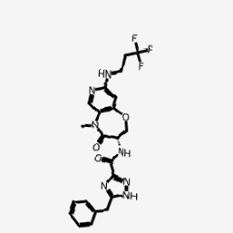 CN1C(=O)[C@@H](NC(=O)c2n[nH]c(Cc3ccccc3)n2)COc2cc(NCCC(F)(F)F)ncc21